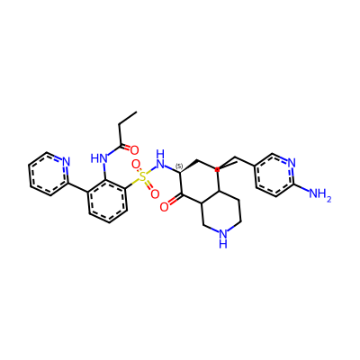 CCC(=O)Nc1c(-c2ccccn2)cccc1S(=O)(=O)N[C@@H](CCCc1ccc(N)nc1)C(=O)C1CNCCC1CC